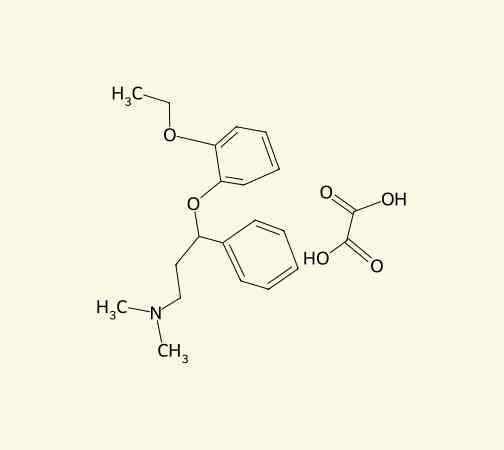 CCOc1ccccc1OC(CCN(C)C)c1ccccc1.O=C(O)C(=O)O